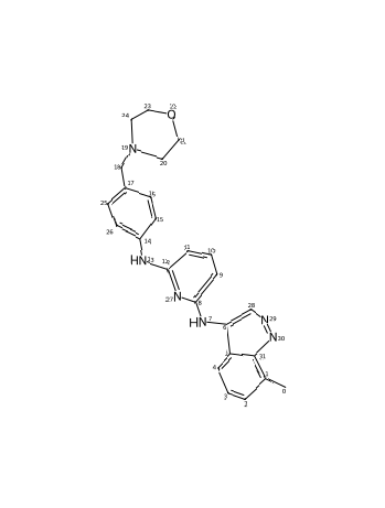 Cc1cccc2c(Nc3cccc(Nc4ccc(CN5CCOCC5)cc4)n3)cnnc12